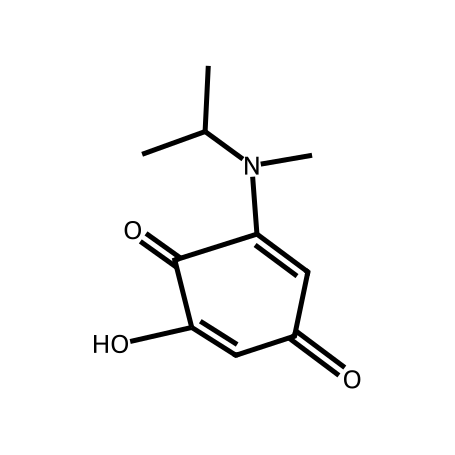 CC(C)N(C)C1=CC(=O)C=C(O)C1=O